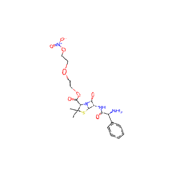 CC1(C)SC2C(NC(=O)[C@@H](N)c3ccccc3)C(=O)N2C1C(=O)OCCOCCO[N+](=O)[O-]